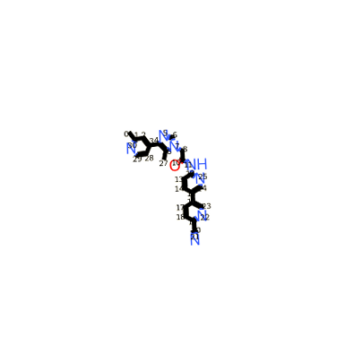 Cc1cc(-c2ncn(CC(=O)Nc3ccc(-c4ccc(C#N)nc4)cn3)c2C)ccn1